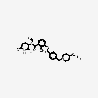 CSC1CCN(Cc2ccc(COc3cccc(C(=O)N(C=O)C4CCC(=O)NC4=O)c3C)cc2)CC1